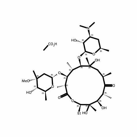 CC(=O)O.CC[C@H]1OC(=O)[C@H](C)[C@@H](O[C@H]2C[C@@](C)(OC)[C@@H](O)[C@H](C)O2)[C@H](C)[C@@H](O[C@@H]2O[C@H](C)C[C@H](N(C)C)[C@H]2O)[C@](C)(O)C[C@@H](C)C(=O)[C@H](C)[C@@H](O)[C@]1(C)O